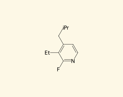 CCc1c(CC(C)C)ccnc1F